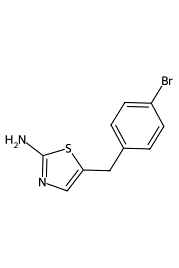 Nc1ncc(Cc2ccc(Br)cc2)s1